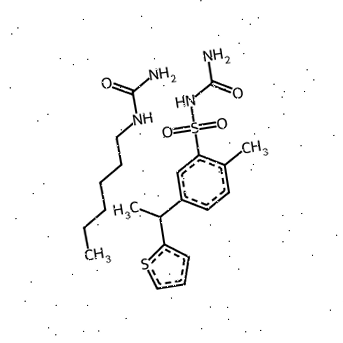 CCCCCCNC(N)=O.Cc1ccc(C(C)c2cccs2)cc1S(=O)(=O)NC(N)=O